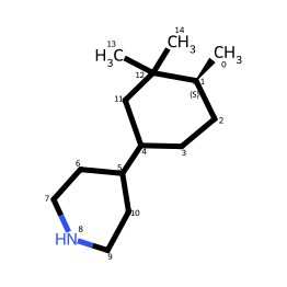 C[C@H]1CCC(C2CCNCC2)CC1(C)C